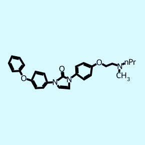 CCCN(C)CCOc1ccc(-n2ccn(-c3ccc(Oc4ccccc4)cc3)c2=O)cc1